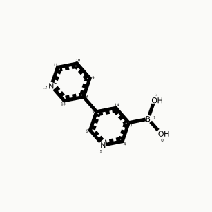 OB(O)c1cncc(-c2cccnc2)c1